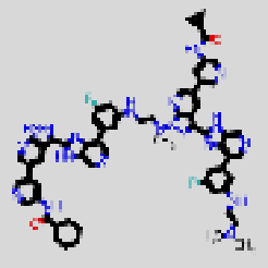 CN(C)CCNc1cc(F)cc(-c2cncc3[nH]c(-c4nn(N(C)CCNc5cc(F)cc(-c6cncc7[nH]c(-c8n[nH]c9ncc(-c%10cncc(NC(=O)C%11CCCCC%11)c%10)cc89)nc67)c5)c5ncc(-c6cncc(NC(=O)C7CC7)c6)cc45)nc23)c1